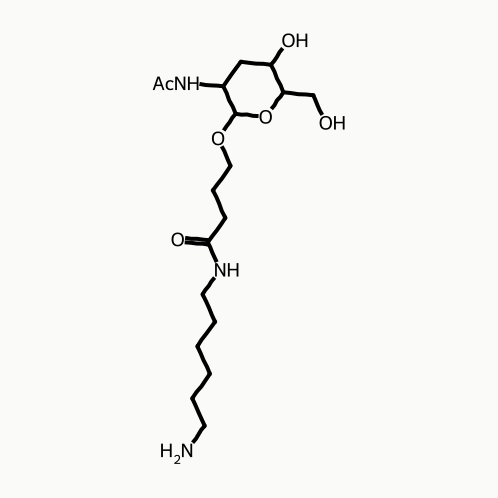 CC(=O)NC1CC(O)C(CO)OC1OCCCC(=O)NCCCCCCN